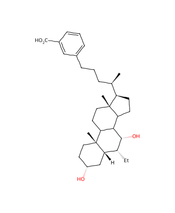 CC[C@H]1[C@@H](O)C2C3CC[C@H]([C@H](C)CCCc4cccc(C(=O)O)c4)[C@@]3(C)CCC2[C@@]2(C)CC[C@@H](O)C[C@@H]12